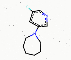 Fc1cncc(N2CCCCCC2)c1